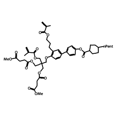 C=C(C)C(=O)OCCCc1cc(-c2ccc(OC(=O)C3CCC(CCCCC)CC3)cc2)ccc1OCC(COC(=O)CCC(=O)OC)(COC(=O)CCC(=O)OC)COC(=O)C(=C)C